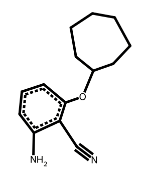 N#Cc1c(N)cccc1OC1CCCCCC1